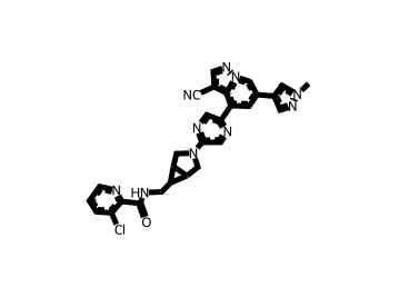 Cn1cc(-c2cc(-c3cnc(N4CC5C(CNC(=O)c6ncccc6Cl)C5C4)cn3)c3c(C#N)cnn3c2)cn1